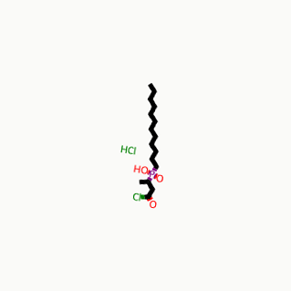 CCCCCCCCCCCCP(=O)(O)C(C)CC(=O)Cl.Cl